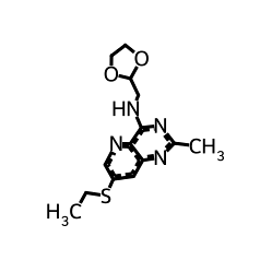 CCSc1cnc2c(NCC3OCCO3)nc(C)nc2c1